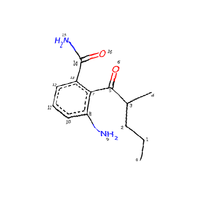 CCCC(C)C(=O)c1c(N)cccc1C(N)=O